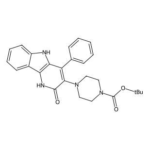 CC(C)(C)OC(=O)N1CCN(c2c(-c3ccccc3)c3[nH]c4ccccc4c3[nH]c2=O)CC1